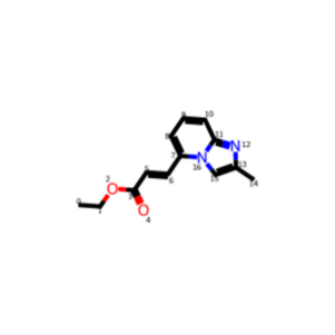 CCOC(=O)/C=C/c1cccc2nc(C)cn12